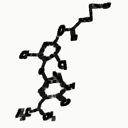 CC(C)c1cc(Oc2c(Cl)cc(OC(=O)C=CC=O)cc2Cl)n[nH]c1=O